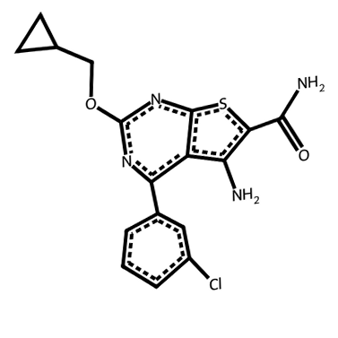 NC(=O)c1sc2nc(OCC3CC3)nc(-c3cccc(Cl)c3)c2c1N